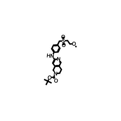 COCCS(=O)(=O)Cc1ccc(Nc2cc3c(cn2)CCN(C(=O)OC(C)(C)C)C3)cc1